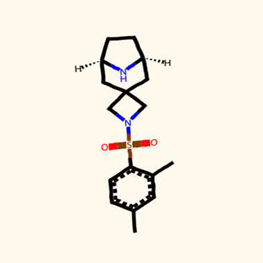 Cc1ccc(S(=O)(=O)N2CC3(C[C@H]4CC[C@@H](C3)N4)C2)c(C)c1